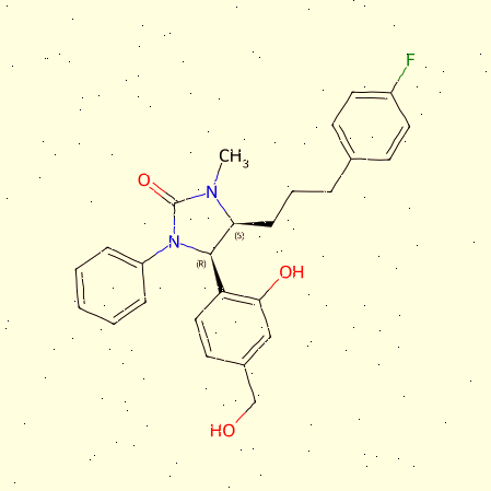 CN1C(=O)N(c2ccccc2)[C@H](c2ccc(CO)cc2O)[C@@H]1CCCc1ccc(F)cc1